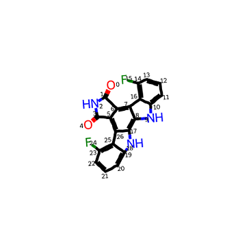 O=C1NC(=O)c2c1c1c([nH]c3cccc(F)c31)c1[nH]c3cccc(F)c3c21